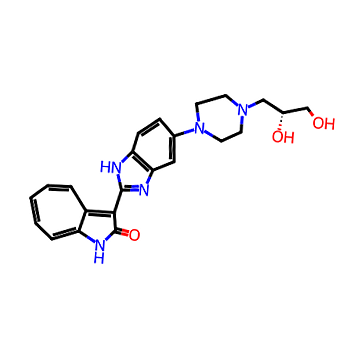 O=c1[nH]c2cccccc-2c1-c1nc2cc(N3CCN(C[C@@H](O)CO)CC3)ccc2[nH]1